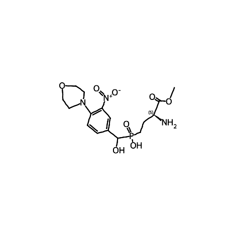 COC(=O)[C@@H](N)CCP(=O)(O)C(O)c1ccc(N2CCOCC2)c([N+](=O)[O-])c1